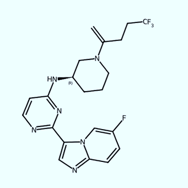 C=C(CCC(F)(F)F)N1CCC[C@@H](Nc2ccnc(-c3cnc4ccc(F)cn34)n2)C1